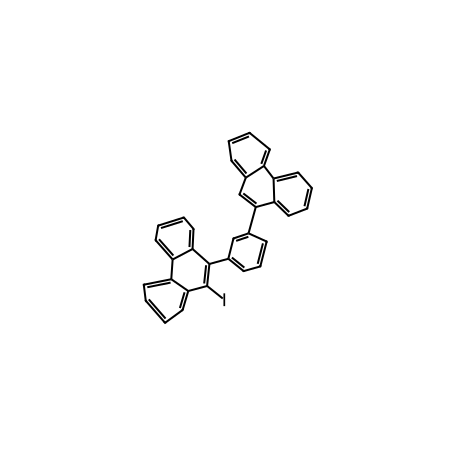 Ic1c(-c2cccc(-c3cc4ccccc4c4ccccc34)c2)c2ccccc2c2ccccc12